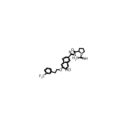 Cl.N=C(N)N1CCCC1c1nc(-c2ccc3cc(OCCc4cccc(C(F)(F)F)c4)ccc3c2)no1